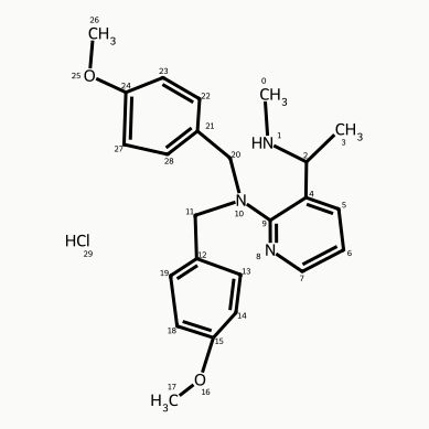 CNC(C)c1cccnc1N(Cc1ccc(OC)cc1)Cc1ccc(OC)cc1.Cl